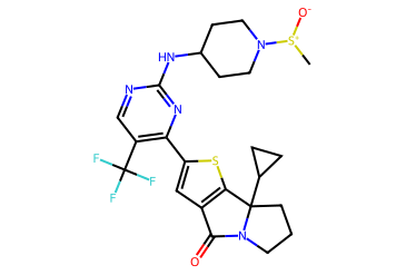 C[S+]([O-])N1CCC(Nc2ncc(C(F)(F)F)c(-c3cc4c(s3)C3(C5CC5)CCCN3C4=O)n2)CC1